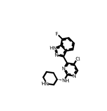 Fc1cccc2c(-c3nc(N[C@H]4CCCNC4)ncc3Cl)n[nH]c12